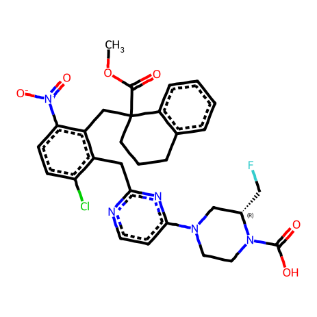 COC(=O)C1(Cc2c([N+](=O)[O-])ccc(Cl)c2Cc2nccc(N3CCN(C(=O)O)[C@@H](CF)C3)n2)CCCc2ccccc21